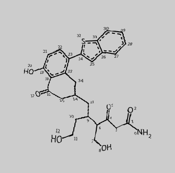 NC(=O)CC(=O)C(CO)C(CCO)CC1CC(=O)c2c(O)ccc(-c3cc4ccccc4s3)c2C1